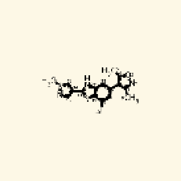 Cc1noc(C)c1-c1cc(I)c2nc(-c3cnn(C)c3)[nH]c2c1